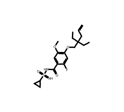 C=CCC(CC)(CC)COc1cc(F)c(C(=O)NS(=N)(=O)C2CC2)cc1OC